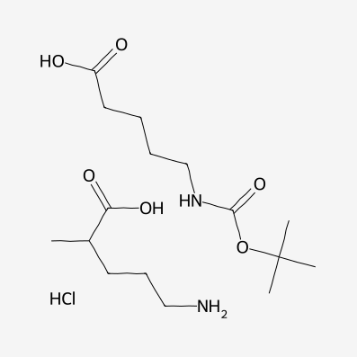 CC(C)(C)OC(=O)NCCCCC(=O)O.CC(CCCN)C(=O)O.Cl